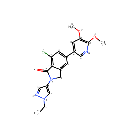 CCn1cc(N2Cc3cc(-c4cnc(OC)c(OC)c4)cc(Cl)c3C2=O)cn1